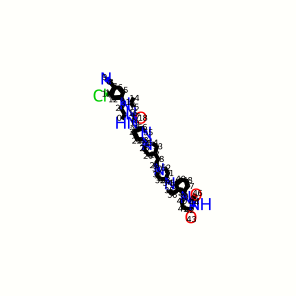 CC1CN(c2ccc(C#N)c(Cl)c2)C(C)CN1C(=O)Nc1ccc(N2CCC(CCN3CCC(n4ccc5c(N6CCC(=O)NC6=O)cccc54)CC3)CC2)nc1